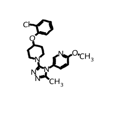 COc1ccc(-n2c(C)nnc2N2CCC(Oc3ccccc3Cl)CC2)cn1